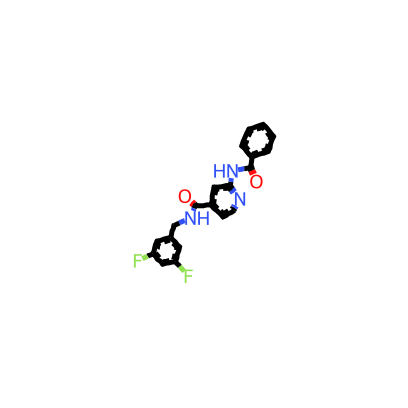 O=C(NCc1cc(F)cc(F)c1)c1ccnc(NC(=O)c2ccccc2)c1